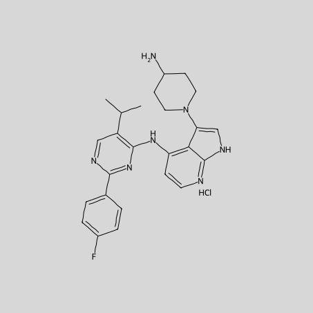 CC(C)c1cnc(-c2ccc(F)cc2)nc1Nc1ccnc2[nH]cc(N3CCC(N)CC3)c12.Cl